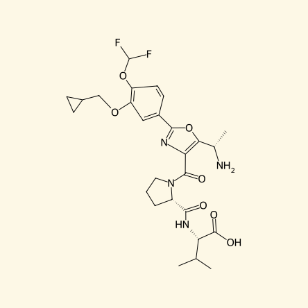 CC(C)[C@H](NC(=O)[C@@H]1CCCN1C(=O)c1nc(-c2ccc(OC(F)F)c(OCC3CC3)c2)oc1[C@H](C)N)C(=O)O